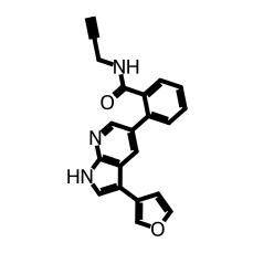 C#CCNC(=O)c1ccccc1-c1cnc2[nH]cc(-c3ccoc3)c2c1